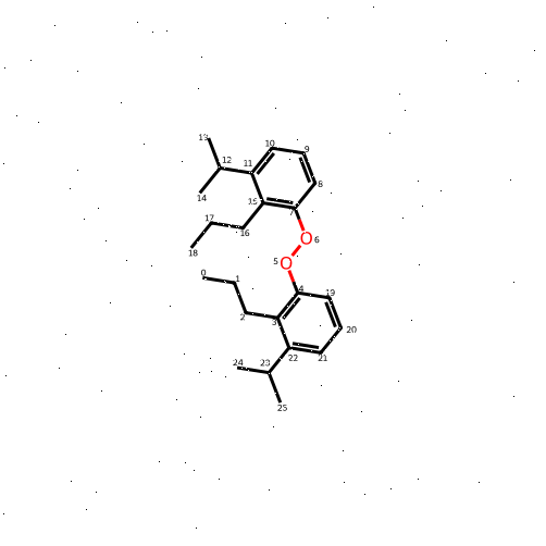 CCCc1c(OOc2cccc(C(C)C)c2CCC)cccc1C(C)C